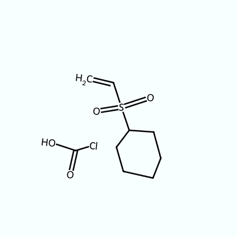 C=CS(=O)(=O)C1CCCCC1.O=C(O)Cl